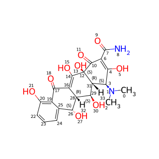 CN(C)[C@@H]1C(O)=C(C(N)=O)C(=O)[C@@]2(O)C(O)=C3C(=O)c4c(O)cccc4[C@@H](O)[C@H]3[C@H](O)[C@@H]12